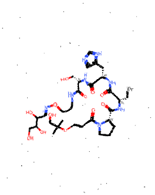 CC(C)C[C@H](NC(=O)[C@@H]1CCCN1C(=O)CCOC(C)(C)CO)C(=O)N[C@@H](Cc1cnc[nH]1)C(=O)N[C@@H](CO)C(=O)NCCO/N=C/C(O)C(O)CO